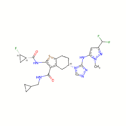 Cn1nc(C(F)F)cc1Nc1nncn1[C@H]1CCc2sc(NC(=O)[C@@H]3C[C@@H]3F)c(C(=O)NCC3CC3)c2C1